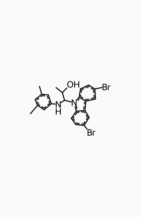 Cc1cc(C)cc(NC(C(C)O)n2c3ccc(Br)cc3c3cc(Br)ccc32)c1